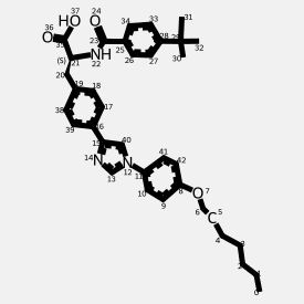 CCCCCCCOc1ccc(-n2cnc(-c3ccc(C[C@H](NC(=O)c4ccc(C(C)(C)C)cc4)C(=O)O)cc3)c2)cc1